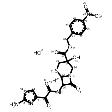 Cl.Nc1nc(C(=O)C(=O)NC2C(=O)N3CC(O)(C(=O)OCc4ccc([N+](=O)[O-])cc4)CS[C@H]23)cs1